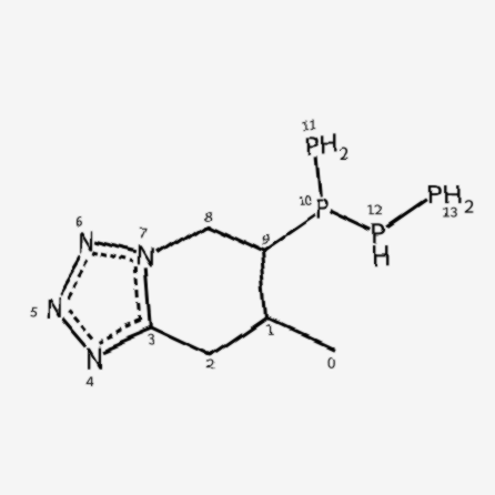 CC1Cc2nnnn2CC1P(P)PP